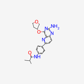 CC(C)C(=O)Nc1ccc(-c2ccc3nc(N)nc(OC4CCOC4)c3n2)cc1